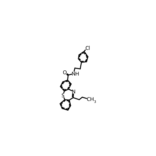 CCCC1=Nc2cc(C(=O)NCCc3ccc(Cl)cc3)ccc2Sc2ccccc21